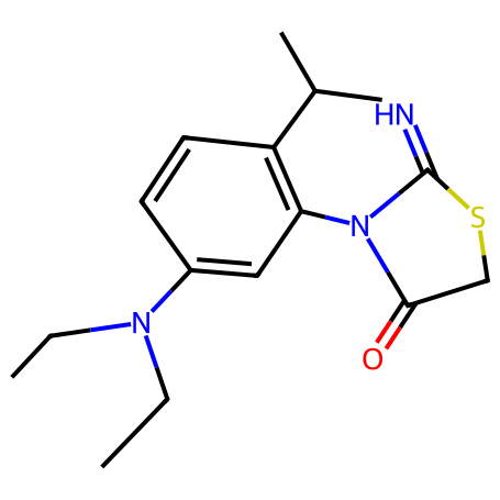 CCN(CC)c1ccc(C(C)C)c(N2C(=N)SCC2=O)c1